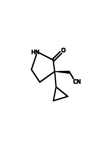 N#CC[C@@]1(C2CC2)CCNC1=O